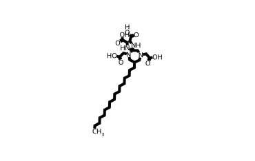 CCCCCCCCCCCCCCCCCC1CN(CC(=O)O)CC(NCC(=O)O)(NCC(=O)O)N(CC(=O)O)C1